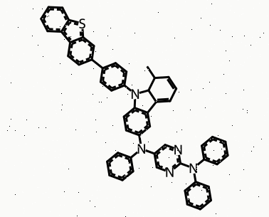 CC1C=CC=C2c3cc(N(c4ccccc4)c4cnc(N(c5ccccc5)c5ccccc5)nc4)ccc3N(c3ccc(-c4ccc5c(c4)sc4ccccc45)cc3)C21